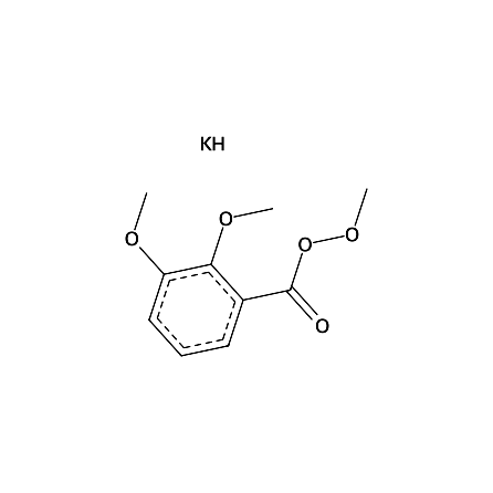 COOC(=O)c1cccc(OC)c1OC.[KH]